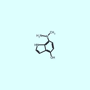 CN(N)c1ccc(O)c2cc[nH]c12